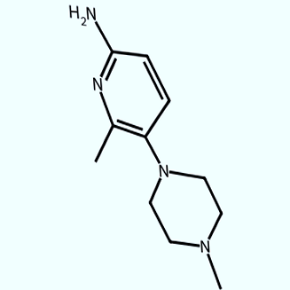 Cc1nc(N)ccc1N1CCN(C)CC1